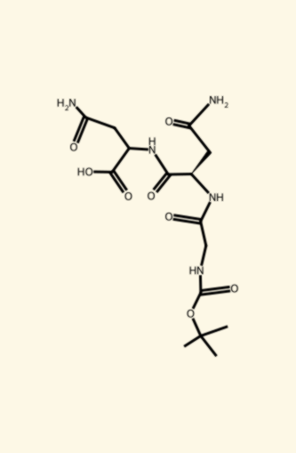 CC(C)(C)OC(=O)NCC(=O)N[C@H](CC(N)=O)C(=O)NC(CC(N)=O)C(=O)O